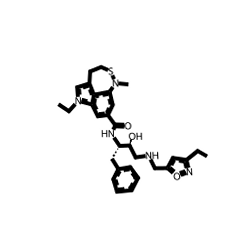 CCc1cc(CNC[C@@H](O)[C@H](Cc2ccccc2)NC(=O)c2cc3c4c(cn(CC)c4c2)CCSN3C)on1